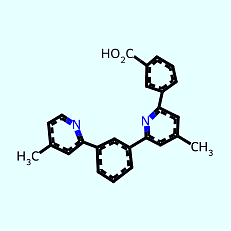 Cc1ccnc(-c2cccc(-c3cc(C)cc(-c4cccc(C(=O)O)c4)n3)c2)c1